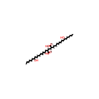 CCCCCCC(O)CCCCCCCCCC(CCC(CCCCCCCCCC(O)CCCCCC)C(=O)O)C(=O)O